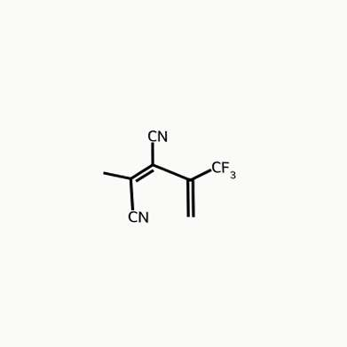 C=C(/C(C#N)=C(/C)C#N)C(F)(F)F